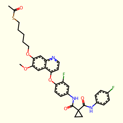 COc1cc2c(Oc3ccc(NC(=O)C4(C(=O)Nc5ccc(F)cc5)CC4)cc3F)ccnc2cc1OCCCCCSC(C)=O